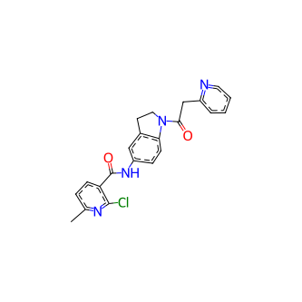 Cc1ccc(C(=O)Nc2ccc3c(c2)CCN3C(=O)Cc2ccccn2)c(Cl)n1